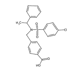 CC(c1ccccc1)N(Cc1ccc(C(=O)O)cc1)S(=O)(=O)c1ccc(Cl)cc1